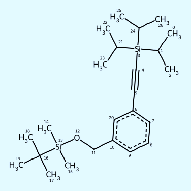 CC(C)[Si](C#Cc1c[c]cc(CO[Si](C)(C)C(C)(C)C)c1)(C(C)C)C(C)C